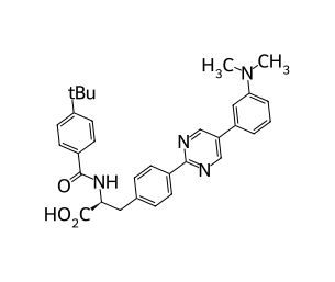 CN(C)c1cccc(-c2cnc(-c3ccc(C[C@H](NC(=O)c4ccc(C(C)(C)C)cc4)C(=O)O)cc3)nc2)c1